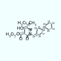 CCOC(=O)c1c(O)c(C(C)C)nn(Cc2ccc(-c3ccccc3)cc2)c1=O